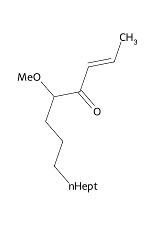 CC=CC(=O)C(CCCCCCCCCC)OC